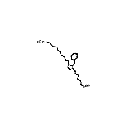 CCCCCCCCCCCCCCCCCCCN1C=CN(CCCCCCCCCCCCCCCC)C1Cc1ccccc1